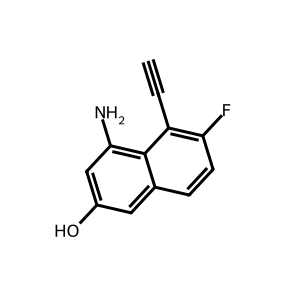 C#Cc1c(F)ccc2cc(O)cc(N)c12